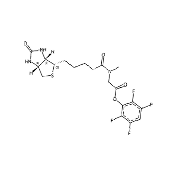 CN(CC(=O)Oc1c(F)c(F)cc(F)c1F)C(=O)CCCC[C@@H]1SC[C@@H]2NC(=O)N[C@@H]21